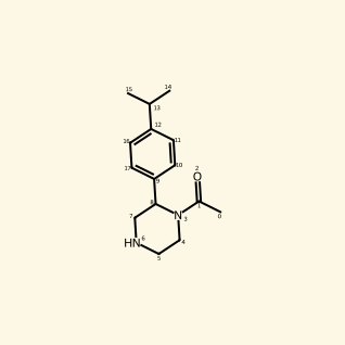 CC(=O)N1CCNCC1c1ccc(C(C)C)cc1